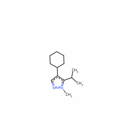 CC(C)c1c(C2CCCCC2)cnn1C